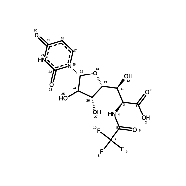 O=C(O)[C@@H](NC(=O)C(F)(F)F)[C@H](O)[C@H]1O[C@@H](n2ccc(=O)[nH]c2=O)C(O)[C@H]1O